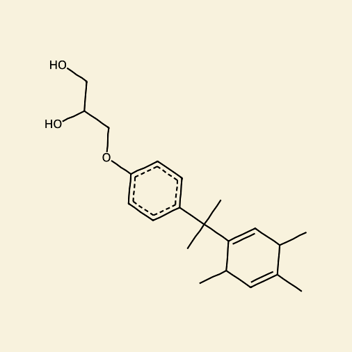 CC1=CC(C)C(C(C)(C)c2ccc(OCC(O)CO)cc2)=CC1C